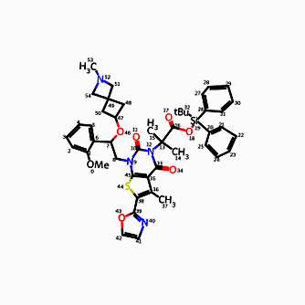 COc1ccccc1C(Cn1c(=O)n(C(C)(C)C(=O)O[Si](c2ccccc2)(c2ccccc2)C(C)(C)C)c(=O)c2c(C)c(-c3ncco3)sc21)OC1CC2(C1)CN(C)C2